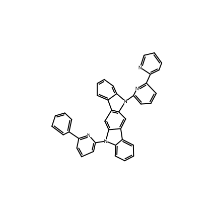 c1ccc(-c2cccc(-n3c4ccccc4c4cc5c(cc43)c3ccccc3n5-c3cccc(-c4ccccn4)n3)n2)cc1